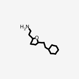 NCCC1CCC(CCC2CCCCC2)O1